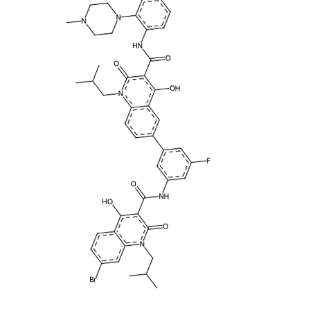 CC(C)Cn1c(=O)c(C(=O)Nc2cc(F)cc(-c3ccc4c(c3)c(O)c(C(=O)Nc3ccccc3N3CCN(C)CC3)c(=O)n4CC(C)C)c2)c(O)c2ccc(Br)cc21